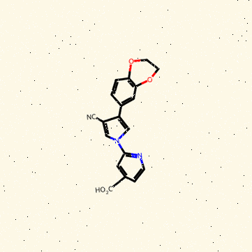 N#Cc1cn(-c2cc(C(=O)O)ccn2)cc1-c1ccc2c(c1)OCCO2